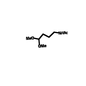 COC(CCCNC(C)=O)OC